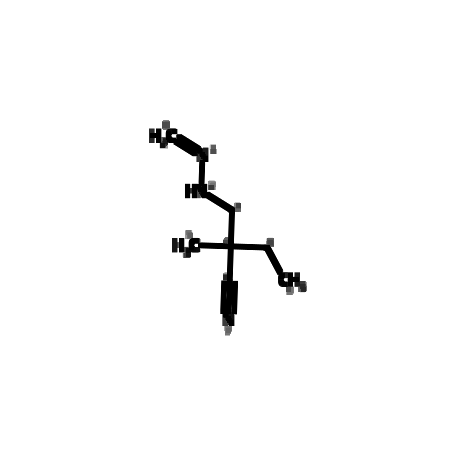 C=NNCC(C)(C#N)CC